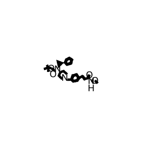 CONC(=O)/C=C/c1ccc(CN2CCC(N(C(=O)OC(C)(C)C)[C@@H]3C[C@H]3c3ccccc3)CC2)cc1